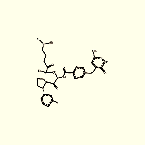 CCN(CC)CCOC(=O)C(CC)(CC)[C@H]1CC[C@@H](c2cccc(F)c2)N1C(=O)[C@@H](C)NC(=O)c1ccc(Oc2cc(C)n[nH]c2=O)cc1